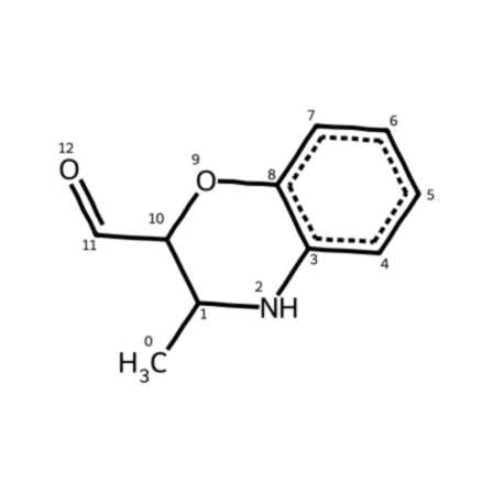 CC1Nc2ccccc2OC1C=O